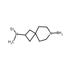 BN1CCC2(CC1)CC(N(C)CC)C2